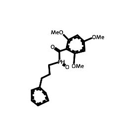 COc1cc(OC)c(C(=O)[PH](=O)CCCc2ccccc2)c(OC)c1